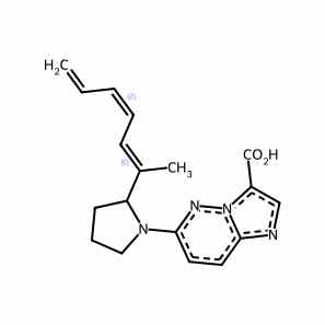 C=C/C=C\C=C(/C)C1CCCN1c1ccc2ncc(C(=O)O)n2n1